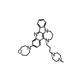 CN1CCN(CCCN2CCCn3c4ccccc4c4nc5cc(N6CCCOCC6)ccc5c2c43)CC1